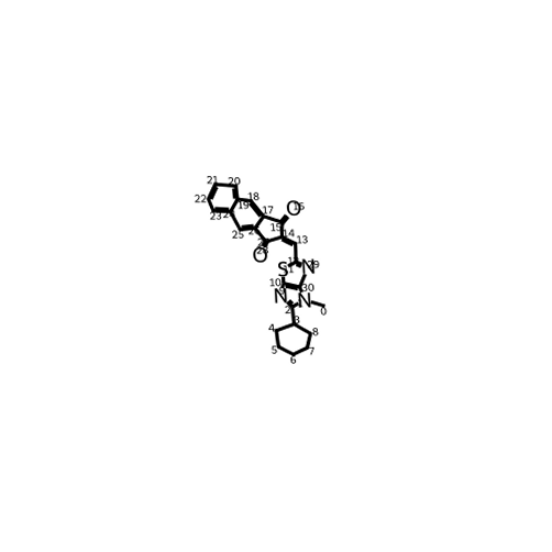 Cn1c(C2CCCCC2)nc2sc(C=C3C(=O)c4cc5ccccc5cc4C3=O)nc21